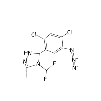 CC1=NNC(c2cc(N=[N+]=[N-])c(Cl)cc2Cl)N1C(F)F